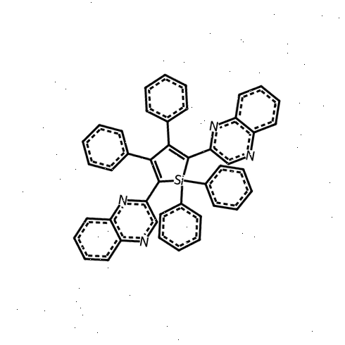 c1ccc(C2=C(c3cnc4ccccc4n3)[Si](c3ccccc3)(c3ccccc3)C(c3cnc4ccccc4n3)=C2c2ccccc2)cc1